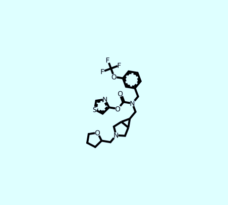 O=C(Oc1cscn1)N(Cc1cccc(OC(F)(F)F)c1)CC1C2CN(CC3CCCO3)CC21